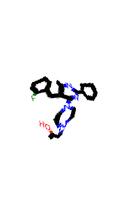 Cc1nc(C2C=CC=CC2)nc(N2CCN(CC(C)O)CC2)c1Cc1ccccc1F